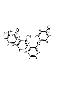 [Hf+4].[O-]c1ccccc1.[O-]c1ccccc1.[O-]c1ccccc1.[O-]c1ccccc1